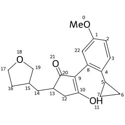 COc1ccc(C2CC2)c(C2=C(O)CC(CC3CCOC3)C2=O)c1